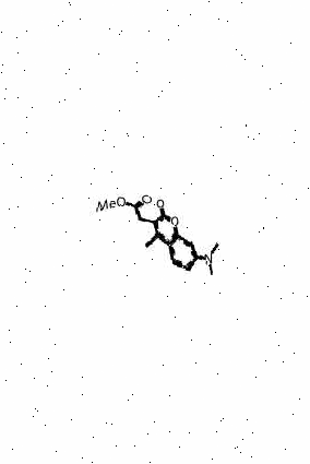 COC(=O)Cc1c(C)c2ccc(N(C)C)cc2oc1=O